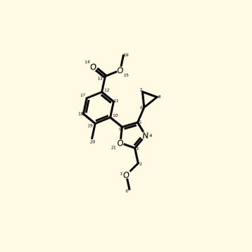 COCc1nc(C2CC2)c(-c2cc(C(=O)OC)ccc2C)o1